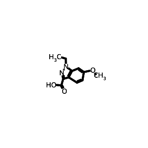 CCn1nc(C(=O)O)c2ccc(OC)cc21